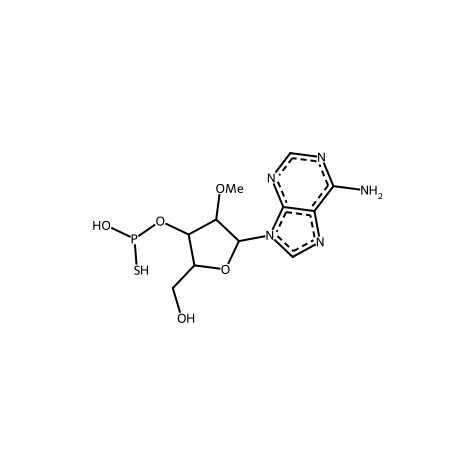 COC1C(OP(O)S)C(CO)OC1n1cnc2c(N)ncnc21